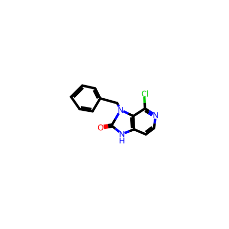 O=c1[nH]c2ccnc(Cl)c2n1Cc1ccccc1